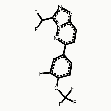 Fc1cc(-c2ccc3nnc(C(F)F)n3n2)ccc1OC(F)(F)F